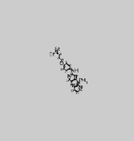 CCN(CC)CCCOc1ccc(Nc2ncc([N+](=O)[O-])c(N(C)c3ccccn3)n2)cc1